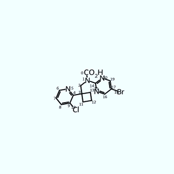 O=C(O)N(CC1(c2ncccc2Cl)CCC1)c1ncc(Br)cn1